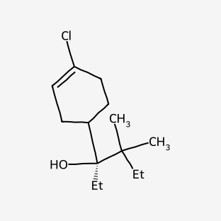 CCC(C)(C)[C@](O)(CC)C1CC=C(Cl)CC1